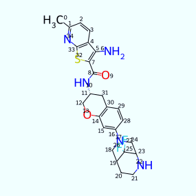 Cc1ccc2c(N)c(C(=O)N[C@H]3COc4cc(N5CC6CCNC(C5)C6(F)F)ccc4C3)sc2n1